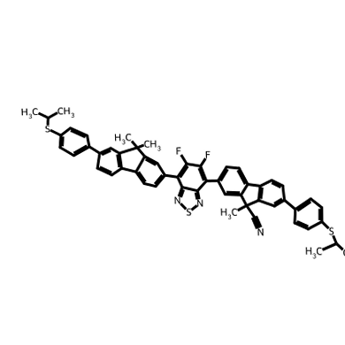 CC(C)Sc1ccc(-c2ccc3c(c2)C(C)(C)c2cc(-c4c(F)c(F)c(-c5ccc6c(c5)C(C)(C#N)c5cc(-c7ccc(SC(C)C)cc7)ccc5-6)c5nsnc45)ccc2-3)cc1